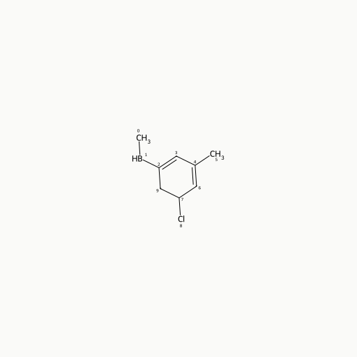 CBC1=CC(C)=CC(Cl)C1